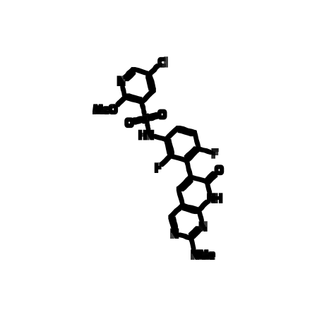 CNc1ncc2cc(-c3c(F)ccc(NS(=O)(=O)c4cc(Cl)cnc4OC)c3F)c(=O)[nH]c2n1